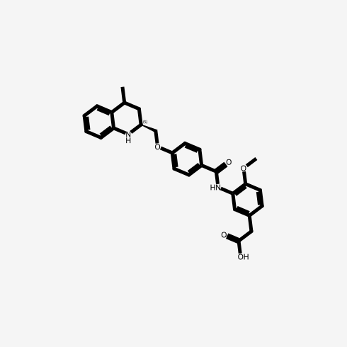 COc1ccc(CC(=O)O)cc1NC(=O)c1ccc(OC[C@@H]2CC(C)c3ccccc3N2)cc1